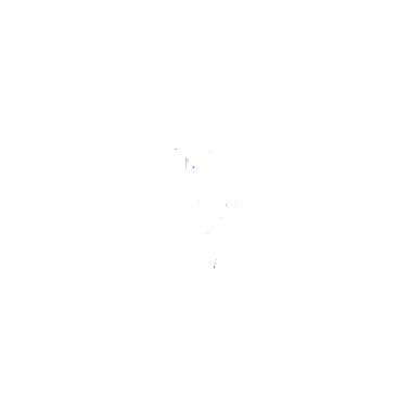 CCCN1CCC(O[C@H]2C[C@H](CCC)C2)CC1